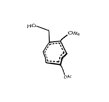 COc1cc(OC(C)=O)ccc1CO